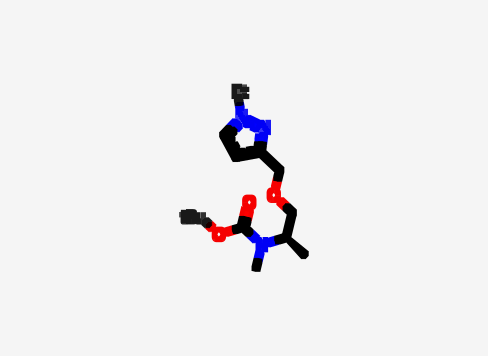 CCn1ccc(COC[C@@H](C)N(C)C(=O)OC(C)(C)C)n1